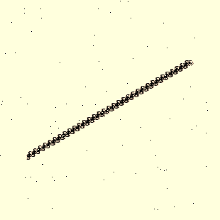 S=S=S=S=S=S=S=S=S=S=S=S=S=S=S=S=S=S=S=S=S=S=S=S=S=S=S=S=S=S=S=S=S=S=S=S=S=S=S=S=S=S=S=S=S=S=S=S=S=S=S=S=S=S=S=S=S=S=S=S=S=S=S=S=S=S=S